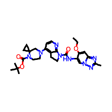 CCOc1cc2nc(C)nn2cc1NC(=O)N1CCc2c(N3CCN(C(=O)OC(C)(C)C)C4(CC4)C3)ccnc21